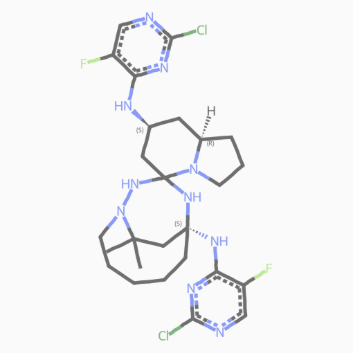 CC1(C)C[C@]2(Nc3nc(Cl)ncc3F)CCCCCN1NC1(C[C@@H](Nc3nc(Cl)ncc3F)C[C@H]3CCCN31)N2